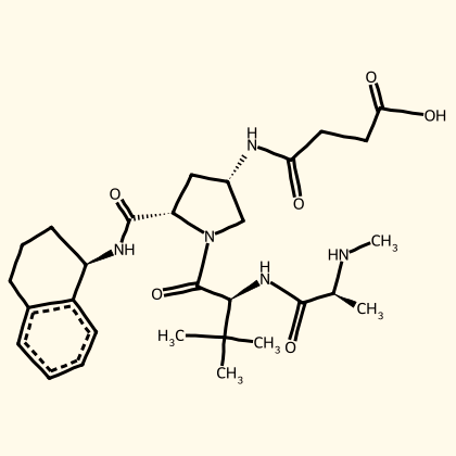 CN[C@@H](C)C(=O)N[C@H](C(=O)N1C[C@@H](NC(=O)CCC(=O)O)C[C@H]1C(=O)N[C@@H]1CCCc2ccccc21)C(C)(C)C